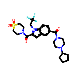 O=C(c1ccc2c(c1)cc(C(=O)N1CCS(=O)(=O)CC1)n2CC(F)(F)F)N1CCN(C2CCCC2)CC1